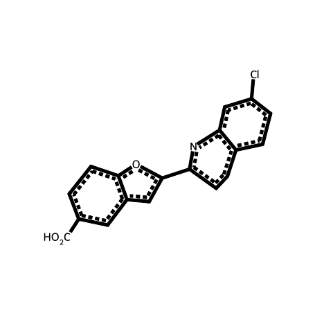 O=C(O)c1ccc2oc(-c3ccc4ccc(Cl)cc4n3)cc2c1